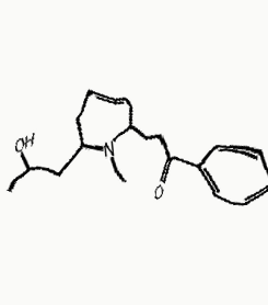 CC(O)CC1CC=CC(CC(=O)c2ccccc2)N1C